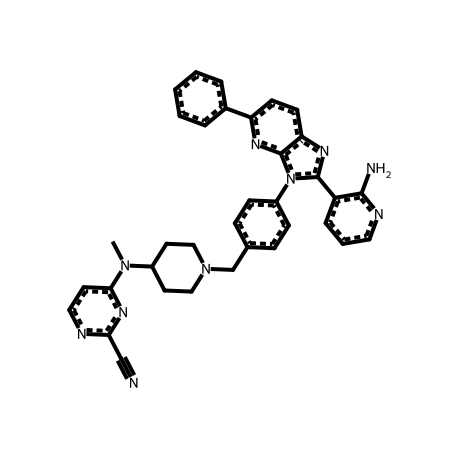 CN(c1ccnc(C#N)n1)C1CCN(Cc2ccc(-n3c(-c4cccnc4N)nc4ccc(-c5ccccc5)nc43)cc2)CC1